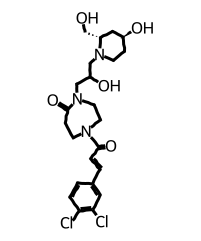 O=C(/C=C/c1ccc(Cl)c(Cl)c1)N1CCC(=O)N(CC(O)CN2CC[C@H](O)C[C@H]2CO)CC1